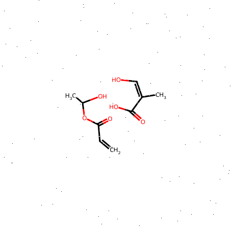 C=CC(=O)OC(C)O.CC(=CO)C(=O)O